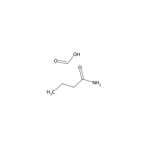 CCCC(N)=O.O=CO